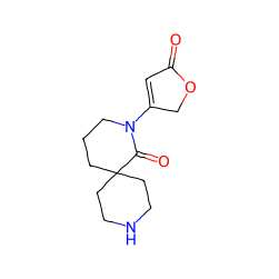 O=C1C=C(N2CCCC3(CCNCC3)C2=O)CO1